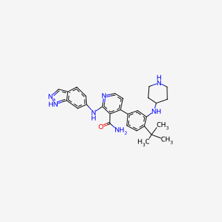 CC(C)(C)c1ccc(-c2ccnc(Nc3ccc4cn[nH]c4c3)c2C(N)=O)cc1NC1CCNCC1